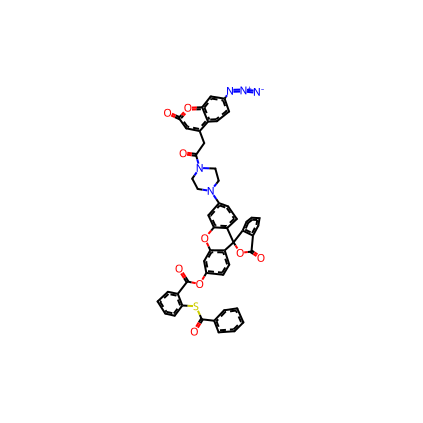 [N-]=[N+]=Nc1ccc2c(CC(=O)N3CCN(c4ccc5c(c4)Oc4cc(OC(=O)c6ccccc6SC(=O)c6ccccc6)ccc4C54OC(=O)c5ccccc54)CC3)cc(=O)oc2c1